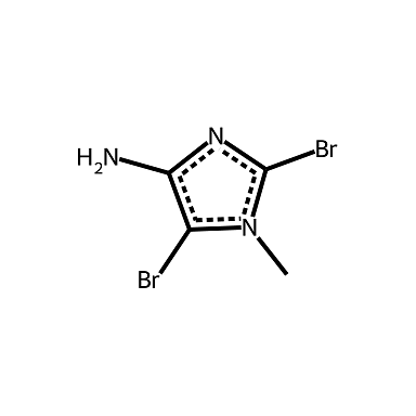 Cn1c(Br)nc(N)c1Br